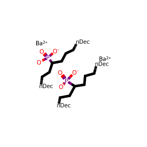 CCCCCCCCCCCCCC(CCCCCCCCCCCC)P(=O)([O-])[O-].CCCCCCCCCCCCCC(CCCCCCCCCCCC)P(=O)([O-])[O-].[Ba+2].[Ba+2]